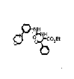 CCOC(=O)C(NC(=O)Nc1cccc(N2CCOCC2)c1)C(=O)c1ccccc1